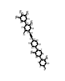 Cc1ccc(-c2ccc(-c3ccc(C#Cc4cc(F)c(-c5cc(F)c(F)c(F)c5)cc4C)cc3)c(F)c2)c(F)c1